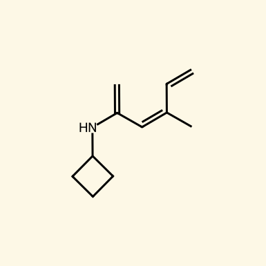 C=C/C(C)=C\C(=C)NC1CCC1